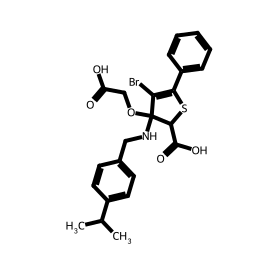 CC(C)c1ccc(CNC2(OCC(=O)O)C(Br)=C(c3ccccc3)SC2C(=O)O)cc1